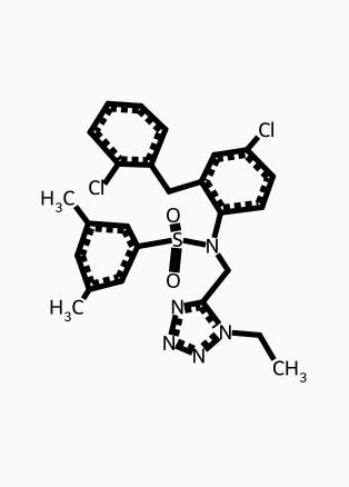 CCn1nnnc1CN(c1ccc(Cl)cc1Cc1ccccc1Cl)S(=O)(=O)c1cc(C)cc(C)c1